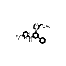 CC(=O)OCC1CN(c2cc(Nc3nccc(C(F)(F)F)n3)cc(-c3ccccc3)c2)CCO1